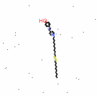 CCCCCCCCCCSSCCCCCCCCCCC[n+]1ccc(/C=C/c2ccc(O)cc2)cc1